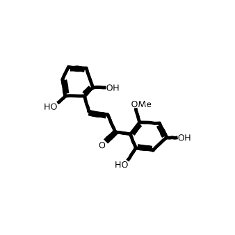 COc1cc(O)cc(O)c1C(=O)C=Cc1c(O)cccc1O